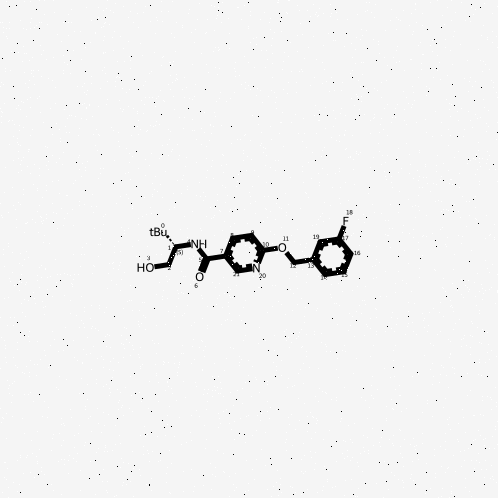 CC(C)(C)[C@@H](CO)NC(=O)c1ccc(OCc2cccc(F)c2)nc1